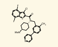 CN[C@H]1CC[C@H](N(Cc2cc(-c3ccncc3)ccc2C)C(=O)c2sc3c(F)ccc(F)c3c2Cl)CC1